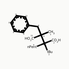 CCCCCC(C(=O)O)(C(C)(C)C)C(C)(Cc1ccccc1)C(=O)O